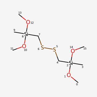 CO[Si](C)(CSSC[Si](C)(OC)OC)OC